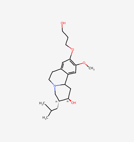 COc1cc2c(cc1OCCCO)CCN1C[C@@H](CC(C)C)[C@H](O)CC21